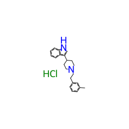 Cc1cccc(CCN2CCC(c3c[nH]c4ccccc34)CC2)c1.Cl